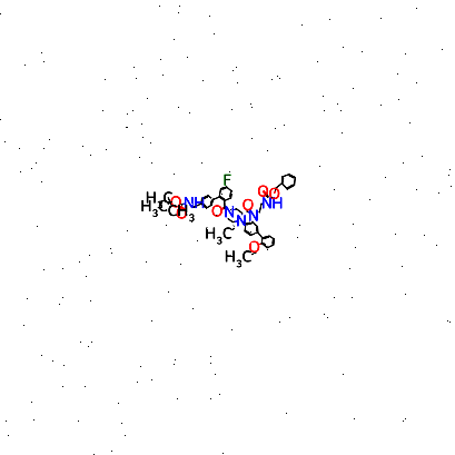 CCOc1ccccc1-c1ccc(N2CCN(C(=O)c3ccc(F)cc3-c3ccc(CNC(=O)OC(C)(C)C)cc3)C[C@H]2CC)c(N(C=O)CCNC(=O)OCc2ccccc2)c1